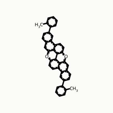 Cc1ccccc1-c1ccc2cc3oc4ccc5c6cc(-c7ccccc7C)ccc6cc6oc7ccc(c2c1)c3c7-c4c65